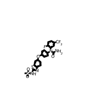 CS(=O)(=O)Nc1nc2ccc(Oc3ccc(N(C(N)=O)c4cc(C(F)(F)F)ccc4F)cc3)cc2s1